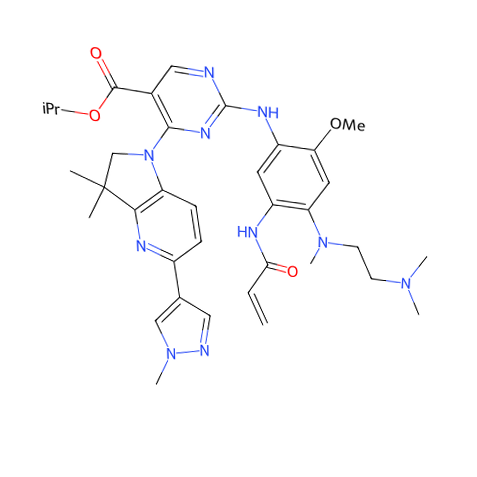 C=CC(=O)Nc1cc(Nc2ncc(C(=O)OC(C)C)c(N3CC(C)(C)c4nc(-c5cnn(C)c5)ccc43)n2)c(OC)cc1N(C)CCN(C)C